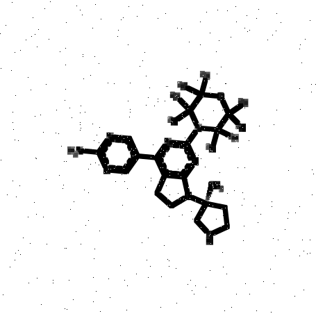 [2H]C1([2H])OC([2H])([2H])C([2H])([2H])N(c2nc(-c3cnc(N)nc3)c3c(n2)N([C@@]2(C)CCNC2)CC3)C1([2H])[2H]